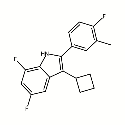 Cc1cc(-c2[nH]c3c(F)cc(F)cc3c2C2CCC2)ccc1F